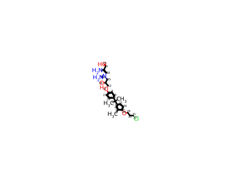 Cc1cc(C(C)(C)c2ccc(OCC(O)CN(N)/C=C(\N)CO)cc2)ccc1OCCCCl